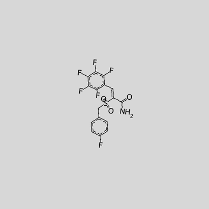 NC(=O)C(=Cc1c(F)c(F)c(F)c(F)c1F)S(=O)(=O)Cc1ccc(F)cc1